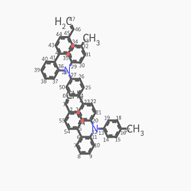 C=Cc1ccc(-c2ccccc2N(c2ccc(C)cc2)c2ccc(-c3ccc(N(c4ccc(C)cc4)c4ccccc4-c4ccc(C=C)cc4)cc3)cc2)cc1